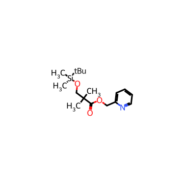 CC(C)(CO[Si](C)(C)C(C)(C)C)C(=O)OCc1ccccn1